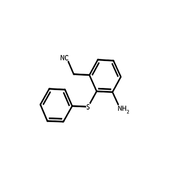 N#CCc1cccc(N)c1Sc1ccccc1